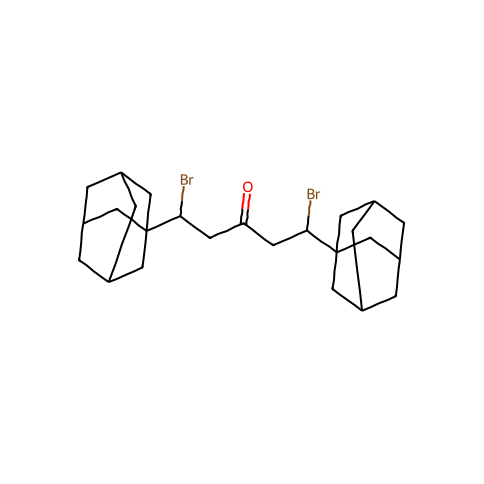 O=C(CC(Br)C12CC3CC(CC(C3)C1)C2)CC(Br)C12CC3CC(CC(C3)C1)C2